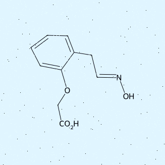 O=C(O)COc1ccccc1C/C=N/O